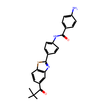 CC(C)(C)C(=O)c1ccc2sc(-c3ccc(NC(=O)c4ccc(N)cc4)cc3)nc2c1